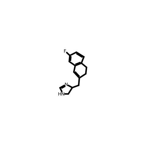 Fc1ccc2c(c1)C=C(CC1CNC=N1)CC2